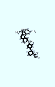 CN1CCC(C(C)(O)c2ccc3cnc(Nc4ccc(-c5cccc(C(N)=O)c5)cc4F)cc3n2)CC1